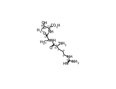 C[C@H](NC(=O)[C@@H](N)CCCNC(=N)N)C(=O)N[C@H](C(=O)O)[C@@H](C)O